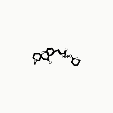 CN1CCCC2(CC(=O)c3cc(C=CC(=O)NOC4CCCCO4)ccc3O2)C1